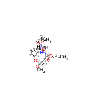 CCCCOC(=O)[C@@H]1Cc2ccc(OC)c(c2)Oc2ccc(cc2)C[C@H](N(C)C(=O)OC(C)(C)C)C(=O)N1